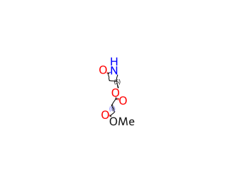 COC(=O)/C=C/C(=O)OC[C@@H]1CNC(=O)C1